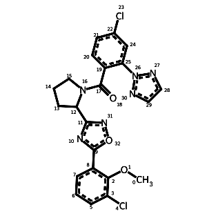 COc1c(Cl)cccc1-c1nc(C2CCCN2C(=O)c2ccc(Cl)cc2-n2nccn2)no1